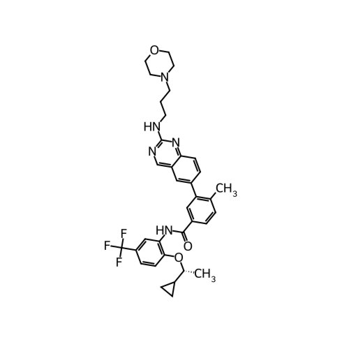 Cc1ccc(C(=O)Nc2cc(C(F)(F)F)ccc2O[C@H](C)C2CC2)cc1-c1ccc2nc(NCCCN3CCOCC3)ncc2c1